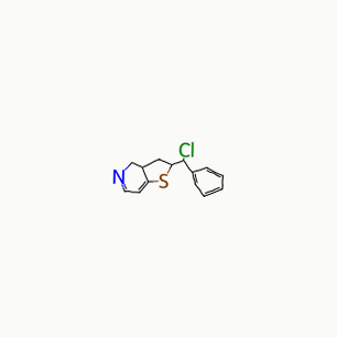 ClC(c1ccccc1)C1CC2CN=CC=C2S1